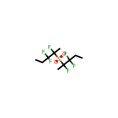 CCC(F)(F)C(C)(F)S(=O)(=O)C(C)(F)C(F)(F)CC